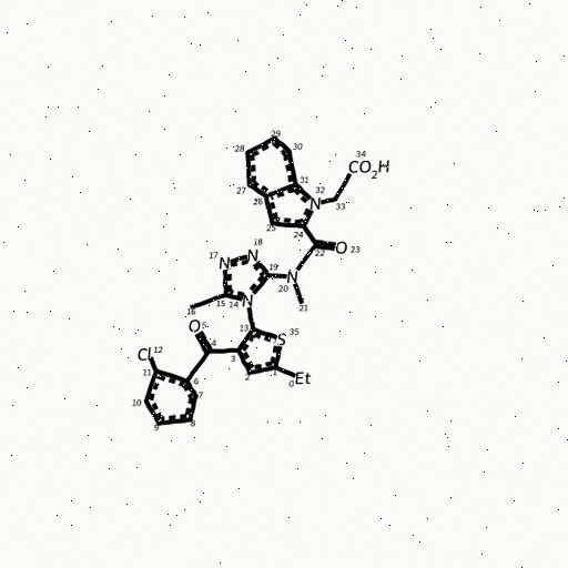 CCc1cc(C(=O)c2ccccc2Cl)c(-n2c(C)nnc2N(C)C(=O)c2cc3ccccc3n2CC(=O)O)s1